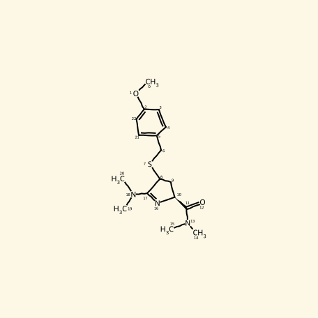 COc1ccc(CSC2C[C@@H](C(=O)N(C)C)N=C2N(C)C)cc1